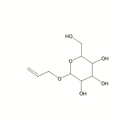 C=CCOC1OC(CO)C(O)C(O)C1O